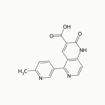 Cc1ccc(-c2nccc3[nH]c(=O)c(C(=O)O)cc23)cn1